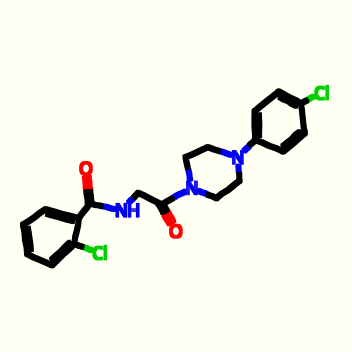 O=C(NCC(=O)N1CCN(c2ccc(Cl)cc2)CC1)c1ccccc1Cl